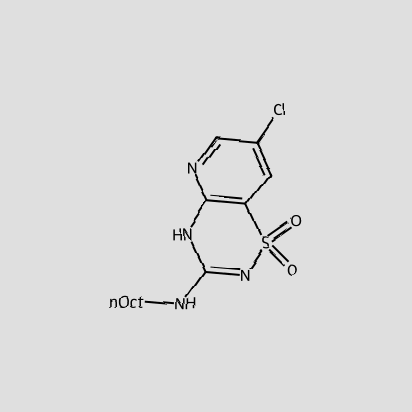 CCCCCCCCNC1=NS(=O)(=O)c2cc(Cl)cnc2N1